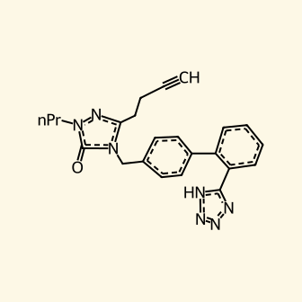 C#CCCc1nn(CCC)c(=O)n1Cc1ccc(-c2ccccc2-c2nnn[nH]2)cc1